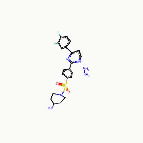 NC1CCN(S(=O)(=O)c2ccc(-c3nccc(-c4ccc(F)c(F)c4)n3)cc2)CC1.NN